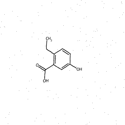 CCc1ccc(O)cc1C(=O)O